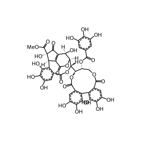 COC(=O)[C@@]1(O)C(=O)C2=C3C(=O)O[C@H]([C@H]([C@@H]4OC(=O)c5cc(O)c(O)c(O)c5-c5c(cc(O)c(O)c5O)C(=O)OC[C@H]4OC(=O)c4cc(O)c(O)c(O)c4)OC(=O)c4cc(O)c(O)c(O)c4[C@H]31)[C@@H]2O